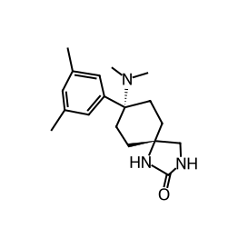 Cc1cc(C)cc([C@]2(N(C)C)CC[C@@]3(CC2)CNC(=O)N3)c1